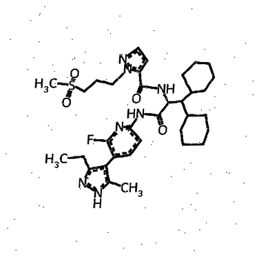 CCc1n[nH]c(C)c1-c1ccc(NC(=O)[C@@H](NC(=O)c2ccnn2CCCS(C)(=O)=O)C(C2CCCCC2)C2CCCCC2)nc1F